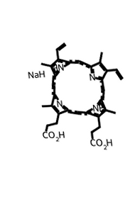 C=CC1=C(C)c2cc3[nH]c(cc4nc(cc5[nH]c(cc1n2)c(C)c5CCC(=O)O)C(CCC(=O)O)=C4C)c(C)c3C=C.[NaH]